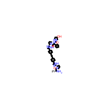 CC(C)[C@H](N)C(=O)N1CCC[C@H]1c1ncc(-c2ccc(C#Cc3ccc(-c4cnc([C@@H]5CCCN5C(=O)[C@H](NC(=O)N5CC[C@@H](O)C5)c5ccccc5)[nH]4)cc3)cc2)[nH]1